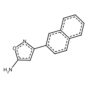 Nc1cc(-c2ccc3ccccc3c2)no1